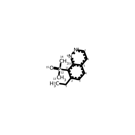 CCc1ccc2ccnnc2c1P(C)(C)=O